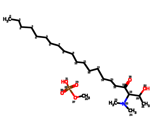 CCCCCCCCCCCCCCCCCC(=O)C(C(C)O)N(C)C.COS(=O)(=O)O